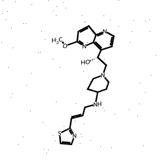 COc1ccc2nccc([C@@H](O)CN3CCC(NC/C=C/c4nccs4)CC3)c2n1